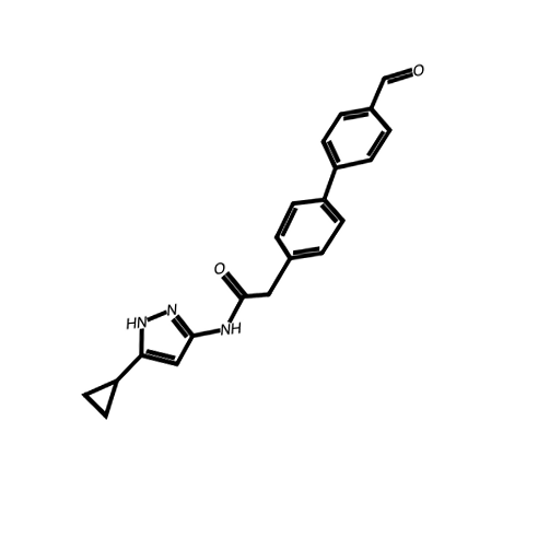 O=Cc1ccc(-c2ccc(CC(=O)Nc3cc(C4CC4)[nH]n3)cc2)cc1